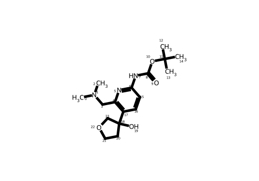 CN(C)Cc1nc(NC(=O)OC(C)(C)C)ccc1C1(O)CCOC1